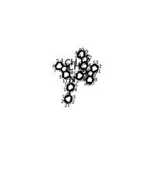 CC1(C)c2ccccc2-c2ccc(N(c3ccc(-c4ccccc4)cc3)c3ccc(C4(c5ccc6c(c5)sc5ccccc56)c5ccccc5-c5ccccc54)cc3)cc21